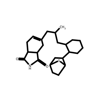 CC(CC1=CCC2C(=O)NC(=O)C2C1)CC1CCCCC1C1CC2CCC1S2